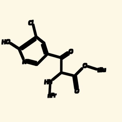 CCCNC(C(=O)OC(C)(C)C)C(=O)c1cnc(O)c(Cl)c1